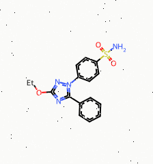 CCOc1nc(-c2ccccc2)n(-c2ccc(S(N)(=O)=O)cc2)n1